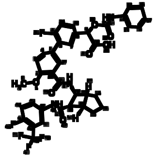 COc1ccc(-c2cc(C(OC(=O)Nc3ccccc3)C(=O)O)ccc2F)cc1C(=O)N[C@H]1[C@@H]2CCC[C@@H]2[C@H]1C(=O)Nc1ccc(F)c(C(F)(F)F)c1